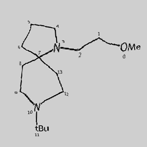 COCCN1CCCC12CCN(C(C)(C)C)CC2